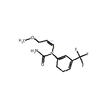 COC/C=C\N(C(N)=O)C1=CC(C(F)(F)F)=CCC1